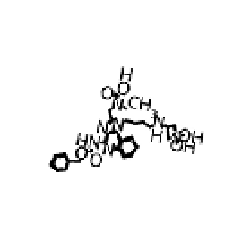 CCN(Cc1nc2c(NC(=O)OCc3ccccc3)nc3ccccc3c2n1CCCCNC1CS(O)(O)C1)C(=O)O